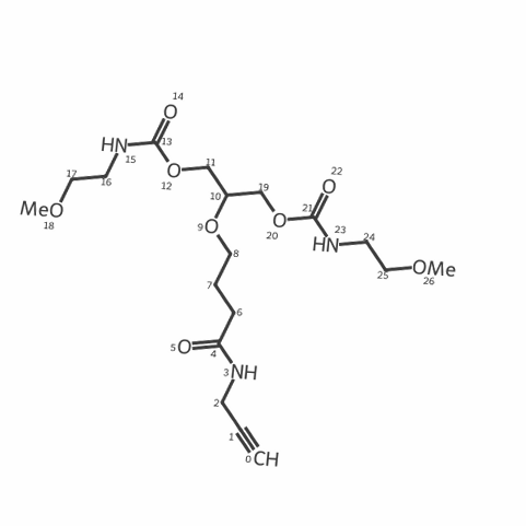 C#CCNC(=O)CCCOC(COC(=O)NCCOC)COC(=O)NCCOC